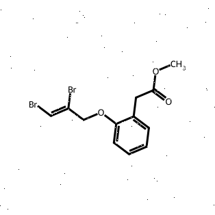 COC(=O)Cc1ccccc1OCC(Br)=CBr